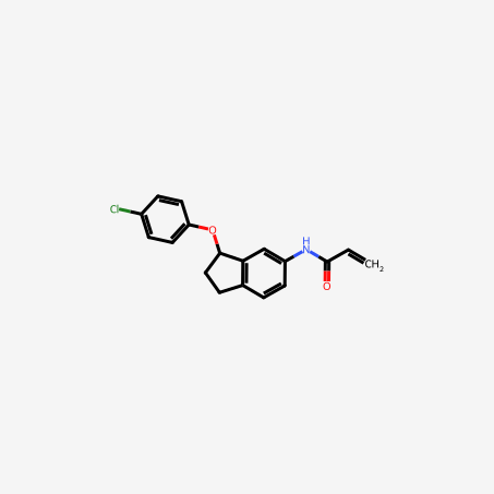 C=CC(=O)Nc1ccc2c(c1)C(Oc1ccc(Cl)cc1)CC2